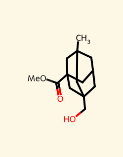 COC(=O)C12CC3CC(C)(CC(CO)(C3)C1)C2